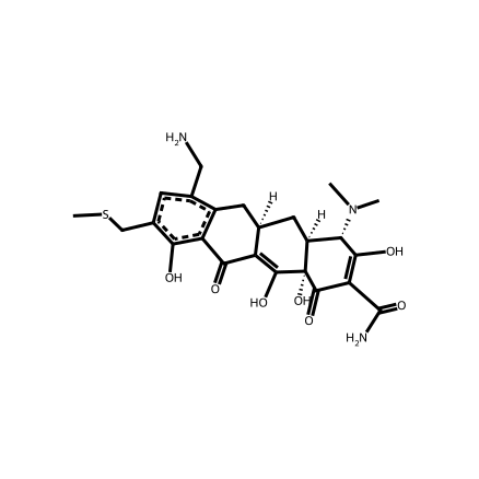 CSCc1cc(CN)c2c(c1O)C(=O)C1=C(O)[C@]3(O)C(=O)C(C(N)=O)=C(O)[C@@H](N(C)C)[C@@H]3C[C@@H]1C2